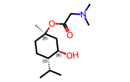 CC(C)[C@@H]1CC[C@@](C)(OC(=O)CN(C)C)C[C@H]1O